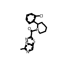 Cc1ncc2sc(C(=O)N3CCCCC3c3ccccc3Cl)nn12